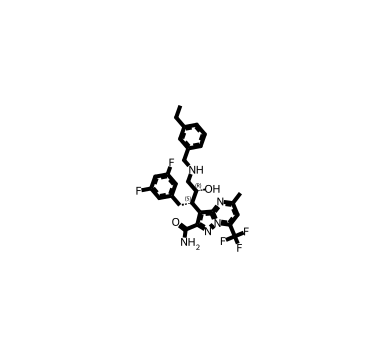 CCc1cccc(CNC[C@H](O)[C@@H](Cc2cc(F)cc(F)c2)c2c(C(N)=O)nn3c(C(F)(F)F)cc(C)nc23)c1